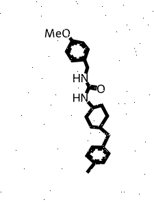 COc1ccc(CNC(=O)NC2CCC(Cc3ccc(C)cc3)CC2)cc1